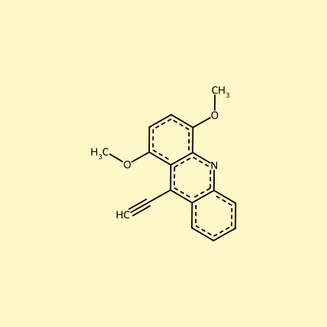 C#Cc1c2ccccc2nc2c(OC)ccc(OC)c12